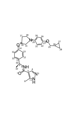 Cc1[nH]ncc1C(=O)N[C@@H](C)c1ccc(O[C@@H]2CCN(c3ccc(OCC4CC4)cc3)C2)cc1